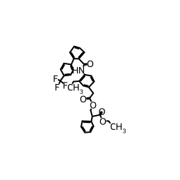 CCOC(=O)C(COC(=O)Cc1ccc(NC(=O)c2ccccc2-c2ccc(C(F)(F)F)cc2)c(CC)c1)c1ccccc1